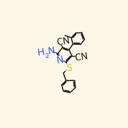 Cc1ccccc1-c1c(C#N)c(N)nc(SCc2ccccc2)c1C#N